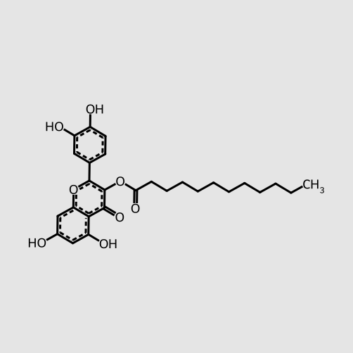 CCCCCCCCCCCC(=O)Oc1c(-c2ccc(O)c(O)c2)oc2cc(O)cc(O)c2c1=O